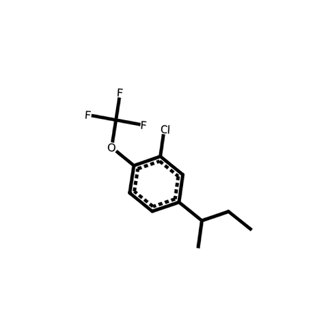 CCC(C)c1ccc(OC(F)(F)F)c(Cl)c1